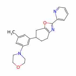 Cc1cc(C2CCc3nc(-c4ccccn4)oc3C2)cc(N2CCOCC2)c1